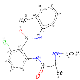 CCC(NC(=O)O)C(=O)Nc1cccc(Cl)c1C(=O)Nc1ccccc1C